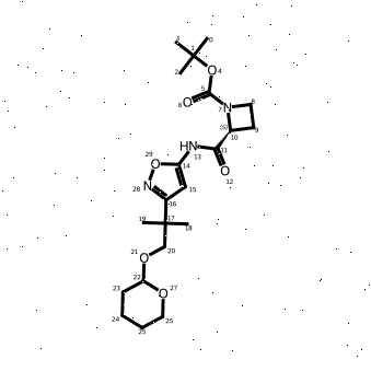 CC(C)(C)OC(=O)N1CC[C@H]1C(=O)Nc1cc(C(C)(C)COC2CCCCO2)no1